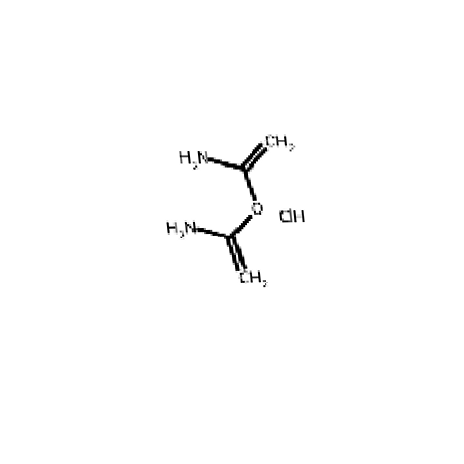 C=C(N)OC(=C)N.Cl